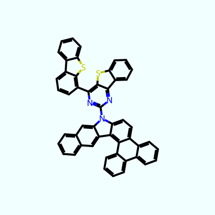 c1ccc2cc3c(cc2c1)c1c2c4ccccc4c4ccccc4c2ccc1n3-c1nc(-c2cccc3c2sc2ccccc23)c2sc3ccccc3c2n1